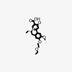 CCOCCOc1cc2c(cc1OC)-c1cc(=O)c(C(=O)O)cn1[C@@H](CC)C2